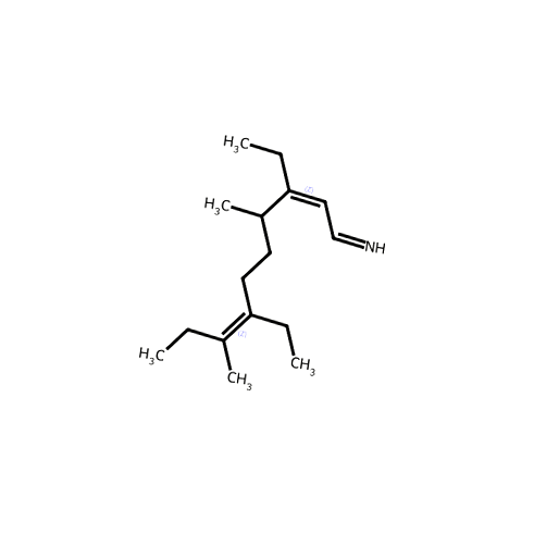 CC/C(=C/C=N)C(C)CC/C(CC)=C(/C)CC